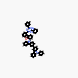 C1=CCCC(C2NC(c3ccccc3)=NC(c3cccc4oc5c(-n6c7ccccc7c7cc(-c8ccc9c(c8)c8ccccc8n9-c8ccccc8)ccc76)cccc5c34)N2)=C1